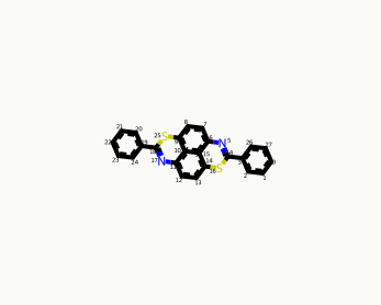 c1ccc(C2=Nc3ccc4c5c(ccc(c35)S2)N=C(c2ccccc2)S4)cc1